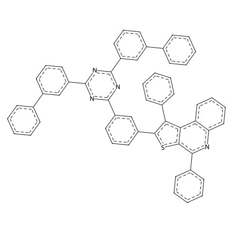 c1ccc(-c2cccc(-c3nc(-c4cccc(-c5ccccc5)c4)nc(-c4cccc(-c5sc6c(-c7ccccc7)nc7ccccc7c6c5-c5ccccc5)c4)n3)c2)cc1